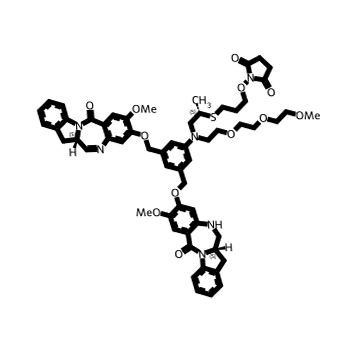 COCCOCCOCCN(C[C@H](C)SCCCON1C(=O)CCC1=O)c1cc(COc2cc3c(cc2OC)C(=O)N2c4ccccc4C[C@H]2C=N3)cc(COc2cc3c(cc2OC)C(=O)N2c4ccccc4C[C@H]2CN3)c1